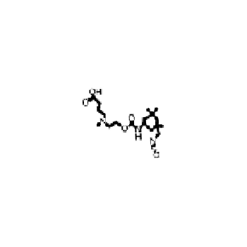 CN(CCCC(=O)O)CCOC(=O)NC1CC(C)(C)CC(C)(CN=C=O)C1